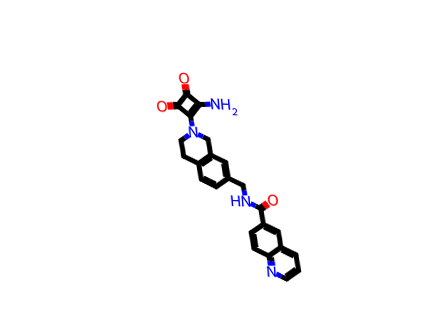 Nc1c(N2CCc3ccc(CNC(=O)c4ccc5ncccc5c4)cc3C2)c(=O)c1=O